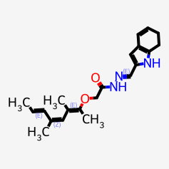 C/C=C/C(C)=C\C(C)=C(/C)OCC(=O)N/N=C/c1cc2c([nH]1)CCC=C2